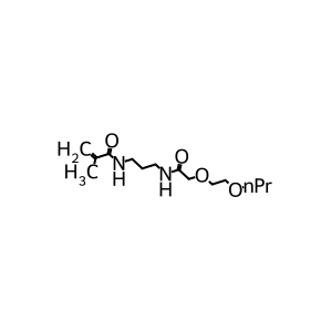 C=C(C)C(=O)NCCCNC(=O)COCCOCCC